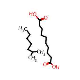 CCCCCC(C)C.O=C(O)CCCCCCCCC(=O)O